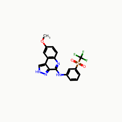 COc1ccc2nc(Nc3cccc(S(=O)(=O)C(F)(F)F)c3)c3n[nH]cc3c2c1